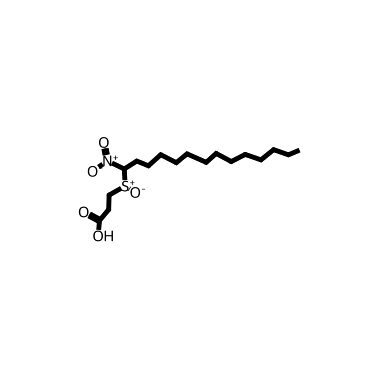 CCCCCCCCCCCCCC([N+](=O)[O-])[S+]([O-])CCC(=O)O